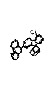 Clc1cccc2c1-c1ccc(-c3cc4ccccc4c4ccccc34)cc1C21C2CC3CC(C2)CC1C3